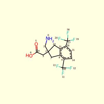 NCC1(CC(=O)O)Cc2c(C(F)(F)F)ccc(C(F)(F)F)c2C1